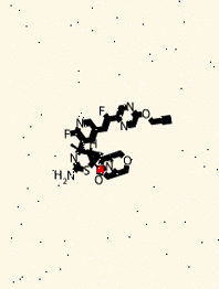 C#CCOc1cnc(/C(F)=C/c2cnc(F)c([C@@]3(C)N=C(N)S[C@@]4(C(=O)N5C6COCC5COC6)C[C@H]43)c2)cn1